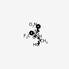 CN(CCO)CCNC(=O)N(c1cccc(C(F)(F)F)c1)c1nc(-c2cccc([N+](=O)[O-])c2)cs1